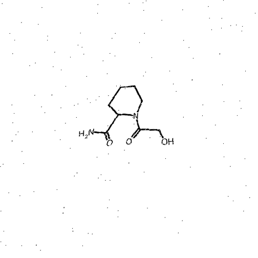 NC(=O)C1C[CH]CCN1C(=O)CO